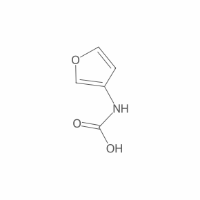 O=C(O)Nc1ccoc1